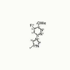 COc1nnc(-n2cnc(C)c2)cc1F